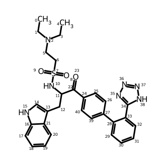 CCN(CC)CCS(=O)(=O)NC(Cc1c[nH]c2ccccc12)C(=O)c1ccc(-c2ccccc2-c2nnn[nH]2)cc1